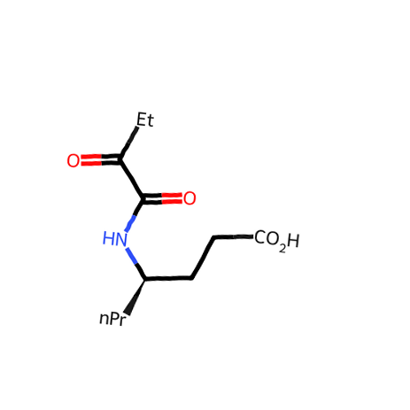 CCC[C@H](CCC(=O)O)NC(=O)C(=O)CC